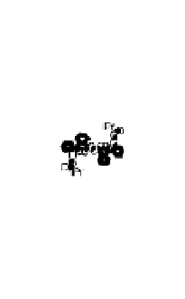 CC(C)C(=O)OCOc1ccccc1C(=O)c1ccccc1C(=O)OOC(=O)c1ccccc1C(=O)c1ccccc1OCOC(=O)C(C)C